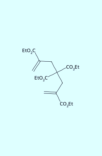 C=C(CC(CC(=C)C(=O)OCC)(C(=O)OCC)C(=O)OCC)C(=O)OCC